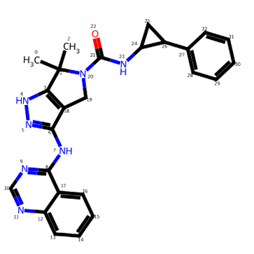 CC1(C)c2[nH]nc(Nc3ncnc4ccccc34)c2CN1C(=O)NC1CC1c1ccccc1